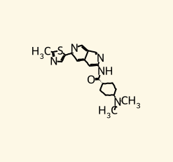 Cc1ncc(-c2cc3cc(NC(=O)[C@H]4CC[C@H](N(C)C)CC4)ncc3cn2)s1